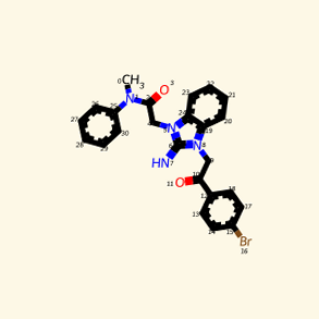 CN(C(=O)Cn1c(=N)n(CC(=O)c2ccc(Br)cc2)c2ccccc21)c1ccccc1